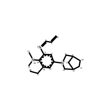 C=C/C=N\c1cc(N2CC3CCC(C3)C2)cc(CC)c1N(C)C